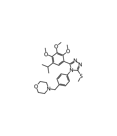 COc1c(-c2nnc(SC)n2-c2ccc(CN3CCOCC3)cc2)cc(C(C)C)c(OC)c1OC